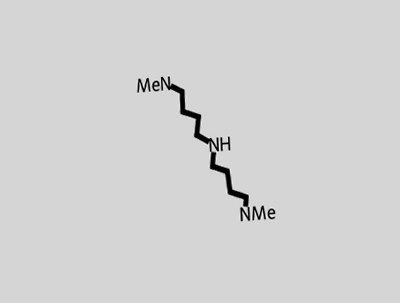 CNCCCCNCCCCNC